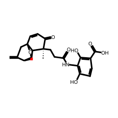 C=C1CC23C=CC(=O)[C@@](C)(CCC(=O)Nc4c(O)ccc(C(=O)O)c4O)C2CC1CC3